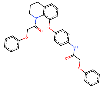 O=C(COc1ccccc1)Nc1ccc(Oc2cccc3c2N(C(=O)COc2ccccc2)CCC3)cc1